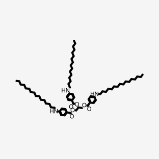 CCCCCCCCCCCCCCCCNc1ccc(C(=O)OCC(COC(=O)c2ccc(NCCCCCCCCCCCCCCCC)cc2)OC(=O)c2ccc(NCCCCCCCCCCCCCCCC)cc2)cc1